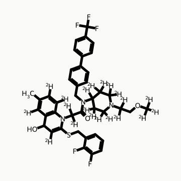 [2H]C1=C(SCc2cccc(F)c2F)N(C([2H])([2H])C(=O)N(Cc2ccc(-c3ccc(C(F)(F)F)cc3)cc2)C2([2H])C([2H])([2H])C([2H])([2H])N(C([2H])([2H])COC([2H])([2H])[2H])C([2H])([2H])C2([2H])[2H])c2c([2H])c([2H])c(C)c([2H])c2C1O